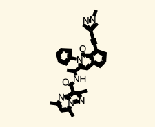 Cc1cc(C)n2nc(C)c(C(=O)NC(C)c3cc4cccc(C#Cc5cnn(C)c5)c4c(=O)n3-c3ccccc3)c2n1